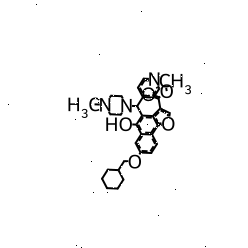 COC(=O)c1coc2c1c(C(c1ccncc1)N1CCN(C)CC1)c(O)c1cc(OCC3CCCCC3)ccc12